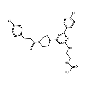 CC(=O)NCCNc1cc(N2CCN(C(=O)CSc3ccc(Cl)cc3)CC2)nc(-c2ccc(Cl)cc2)n1